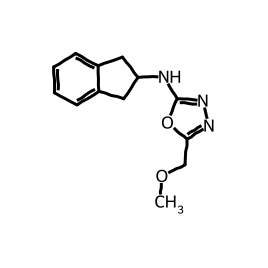 COCc1nnc(NC2Cc3ccccc3C2)o1